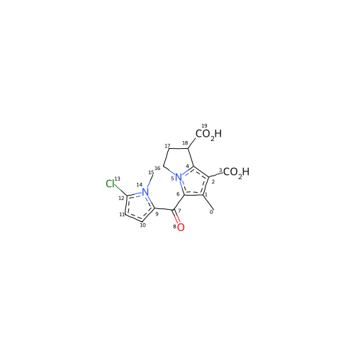 Cc1c(C(=O)O)c2n(c1C(=O)c1ccc(Cl)n1C)CCC2C(=O)O